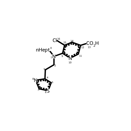 CCCCCCCN(CCc1cs[c]n1)c1ncc(C(=O)O)cc1Cl